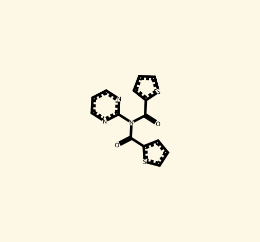 O=C(c1cccs1)N(C(=O)c1cccs1)c1ncccn1